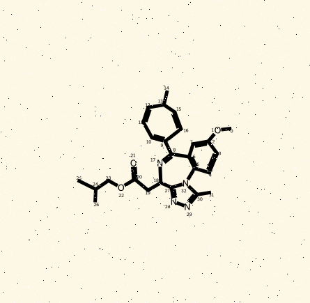 COc1ccc2c(c1)C(C1=CC=CC(C)C=C1)=NC(CC(=O)OCC(C)C)c1nnc(C)n1-2